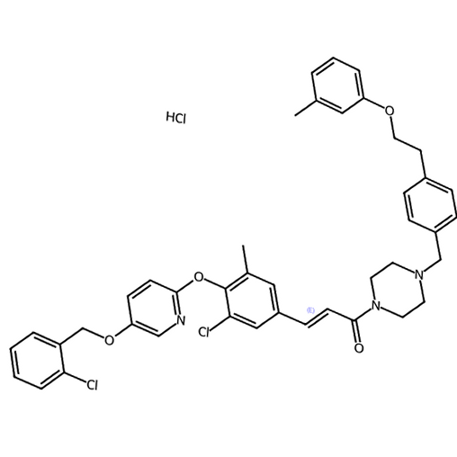 Cc1cccc(OCCc2ccc(CN3CCN(C(=O)/C=C/c4cc(C)c(Oc5ccc(OCc6ccccc6Cl)cn5)c(Cl)c4)CC3)cc2)c1.Cl